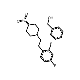 O=S(=O)=C1CCN(CCc2ccc(F)cc2F)CC1.OCc1ccccc1